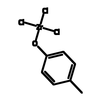 Cc1ccc([O][Zr]([Cl])([Cl])[Cl])cc1